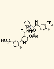 COc1cnc(-c2cc(C(=O)O)ccc2F)cc1C(=O)N[C@@H]1C2CCC(/C2=C/C(F)(F)F)[C@@H]1C(=O)Nc1ccc(F)c(C(F)(F)F)c1